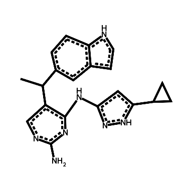 CC(c1ccc2[nH]ccc2c1)c1cnc(N)nc1Nc1cc(C2CC2)[nH]n1